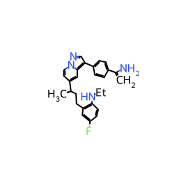 C=C(N)c1ccc(-c2cnn3ccc(C(C)CCc4cc(F)ccc4NCC)cc23)cc1